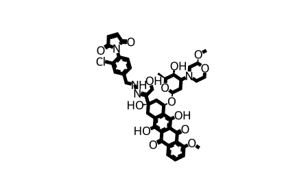 COc1cccc2c1C(=O)c1c(O)c3c(c(O)c1C2=O)C[C@@](O)(/C(CO)=N/NCc1ccc(N2C(=O)C=CC2=O)c(Cl)c1)C[C@@H]3O[C@H]1CC(N2CCO[C@@H](OC)C2)[C@H](O)[C@H](C)O1